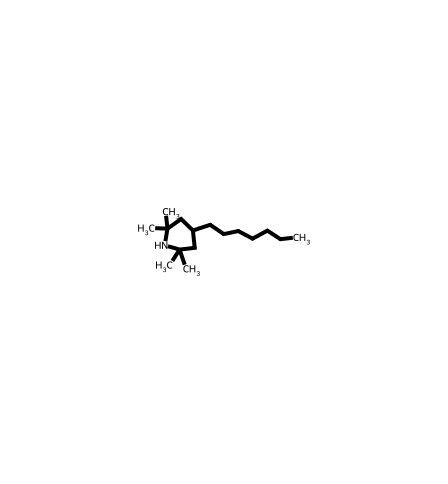 CCCCCCCC1CC(C)(C)NC(C)(C)C1